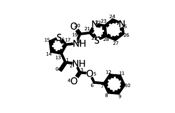 C=C(NC(=O)OCc1ccccc1)c1ccsc1NC(=O)c1nc2cnccc2s1